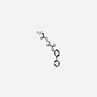 C=CC(=O)OCCNC(=O)Oc1cccc(-c2ccccc2)c1